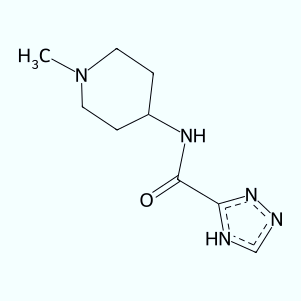 CN1CCC(NC(=O)c2nnc[nH]2)CC1